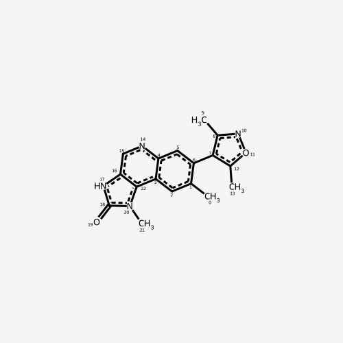 Cc1cc2c(cc1-c1c(C)noc1C)ncc1[nH]c(=O)n(C)c12